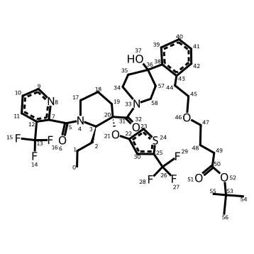 CCC[C@H]1N(C(=O)c2ncccc2C(F)(F)F)CCC[C@@]1(Oc1csc(C(F)(F)F)c1)C(=O)N1CCC(O)(c2ccccc2CCOCCCC(=O)OC(C)(C)C)CC1